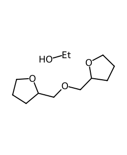 C1COC(COCC2CCCO2)C1.CCO